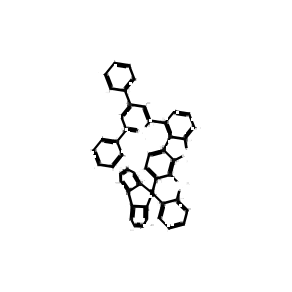 c1ccc(-c2cc(-c3ccccc3)nc(-c3cccc4oc5c6c(ccc5c34)C3(c4ccccc4S6)c4ccccc4-c4ccccc43)c2)cc1